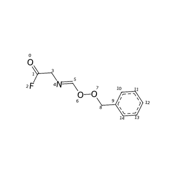 O=C(F)CN=COOCc1ccccc1